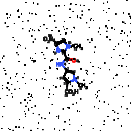 Cn1cc(NC(=O)c2nc([N+](=O)[O-])cn2C)cc1C(=O)O